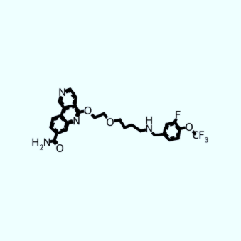 NC(=O)c1ccc2c(c1)nc(OCCOCCCCNCc1ccc(OC(F)(F)F)c(F)c1)c1ccncc12